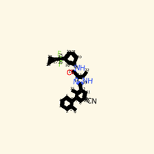 Cc1ccccc1-c1cc(C#N)cc(-c2nc(C(=O)Nc3cccc(C(F)(F)C4CC4)c3)c(C)[nH]2)c1C